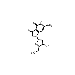 Nc1cc2c(c(I)cn2C2CC(O)C(CO)O2)c(=O)[nH]1